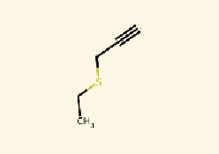 [C]#CCSCC